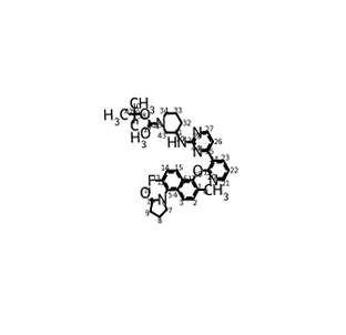 Cc1ccc2c(N3CCCC3=O)c(F)ccc2c1Oc1ncccc1-c1ccnc(NC2CCCN(C(=O)OC(C)(C)C)C2)n1